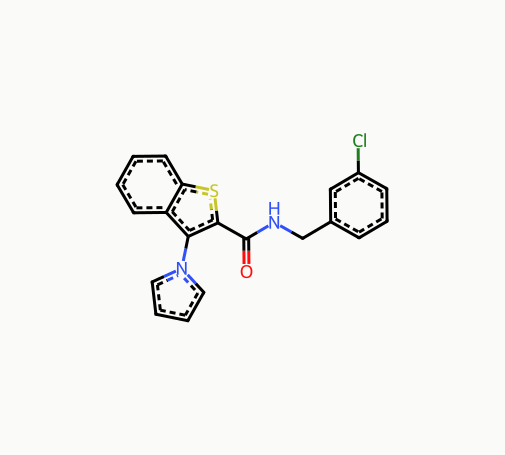 O=C(NCc1cccc(Cl)c1)c1sc2ccccc2c1-n1cccc1